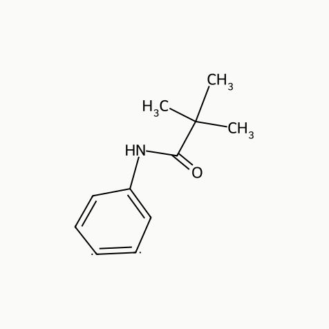 CC(C)(C)C(=O)Nc1c[c][c]cc1